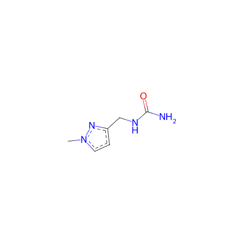 Cn1ccc(CNC(N)=O)n1